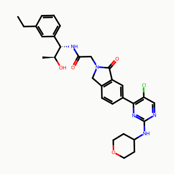 CCc1cccc([C@H](NC(=O)CN2Cc3ccc(-c4nc(NC5CCOCC5)ncc4Cl)cc3C2=O)[C@H](C)O)c1